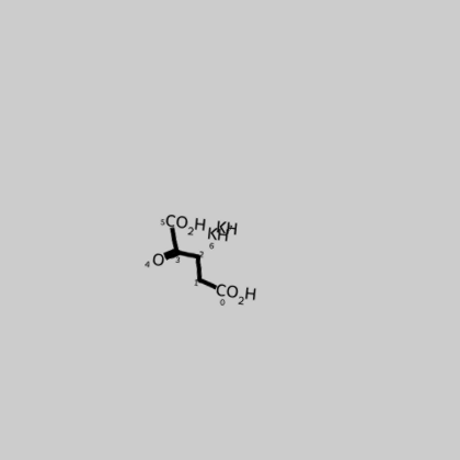 O=C(O)CCC(=O)C(=O)O.[KH].[KH]